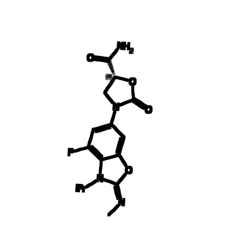 CN=c1oc2cc(N3C[C@H](C(N)=O)OC3=O)cc(F)c2n1C(C)C